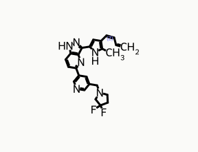 C=C/C=C\c1cc(-c2n[nH]c3ccc(-c4cncc(CN5CCC(F)(F)C5)c4)nc23)[nH]c1C